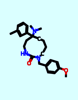 COc1ccc(CN2CCCCC(c3cccc(C)c3)(N(C)C)CCNC2=O)cc1